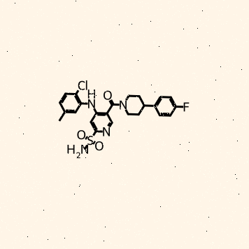 Cc1ccc(Cl)c(Nc2cc(S(N)(=O)=O)ncc2C(=O)N2CCC(c3ccc(F)cc3)CC2)c1